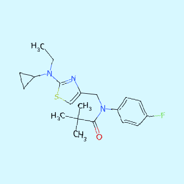 CCN(c1nc(CN(C(=O)C(C)(C)C)c2ccc(F)cc2)cs1)C1CC1